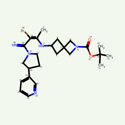 C/C(NC1CC2(C1)CN(C(=O)OC(C)(C)C)C2)=C(\Br)C(=N)N1CCC(c2cccnc2)C1